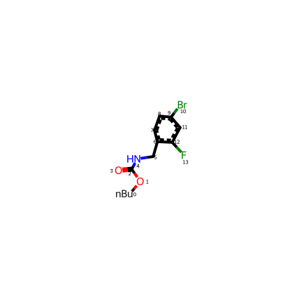 CCCCOC(=O)NCc1ccc(Br)cc1F